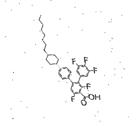 CCCCCCCC[C@H]1CC[C@H](c2ccc(-c3cc(F)c(C(=O)O)c(F)c3-c3cc(F)c(F)c(F)c3)cc2)CC1